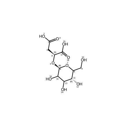 O=C(O)C[C@H](O[C@H]1OC(CO)[C@H](O)C(O)C1O)C(=O)O